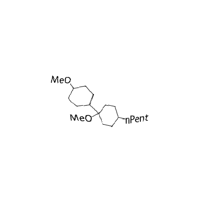 CCCCCC1CCC(OC)(C2CCC(OC)CC2)CC1